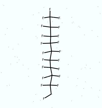 F[CH]C(F)(F)C(F)(F)C(F)(F)C(F)(F)C(F)(F)C(F)(F)C(F)(F)C(F)(F)C(F)(F)F